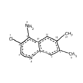 Cc1cc2ncc(Cl)c(N)c2cc1C